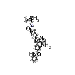 CN(C/C=C/C(=O)N1CC2CC(n3nc(-c4ccc(C(=O)Nc5ccccc5)cc4)c4c(N)ncnc43)CC2C1)C1CC1